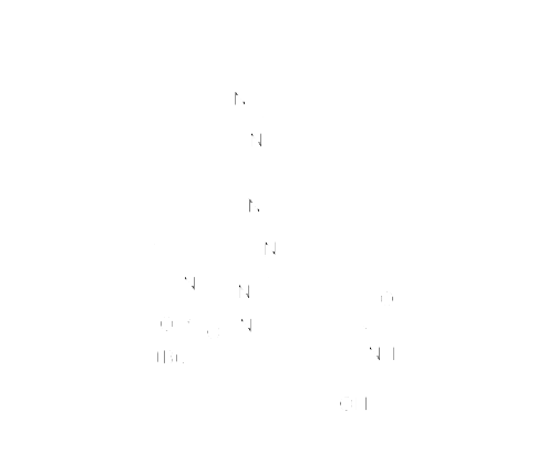 CC(C)(C)OC(=O)N(c1cc(N2CCN(c3ccccn3)CC2)nc2c(/C=C3\CC(O)NC3=O)cnn12)C1CC1